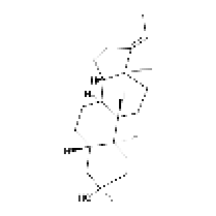 CC=C1CC[C@H]2[C@@H]3CC[C@H]4C[C@](C)(O)CC[C@@H]4[C@H]3CC[C@]12C